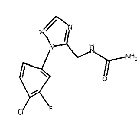 NC(=O)NCc1ncnn1-c1ccc(Cl)c(F)c1